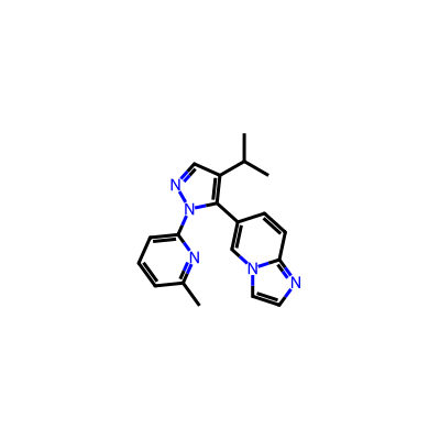 Cc1cccc(-n2ncc(C(C)C)c2-c2ccc3nccn3c2)n1